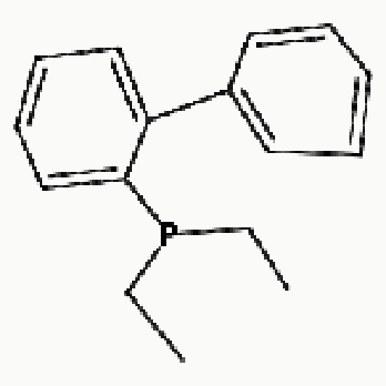 CCP(CC)c1ccccc1-c1ccccc1